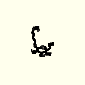 NCCCCOC1OC(CO)C(O)C(O)C1O